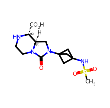 CS(=O)(=O)NC12CC(N3C[C@@H]4[C@@H](C(=O)O)NCCN4C3=O)(C1)C2